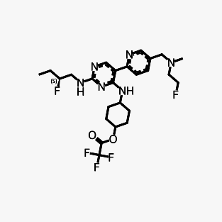 CC[C@H](F)CNc1ncc(-c2ccc(CN(C)CCF)cn2)c(NC2CCC(OC(=O)C(F)(F)F)CC2)n1